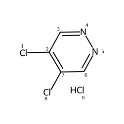 Cl.Clc1cnncc1Cl